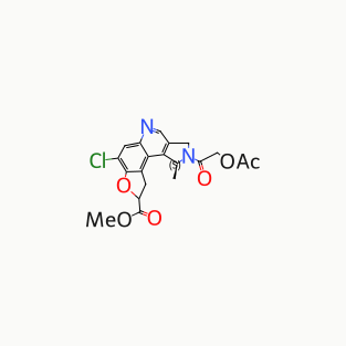 COC(=O)C1Cc2c(c(Cl)cc3ncc4c(c23)[C@H](C)N(C(=O)COC(C)=O)C4)O1